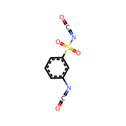 O=C=Nc1cccc(S(=O)(=O)N=C=O)c1